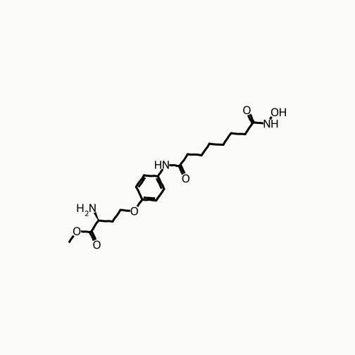 COC(=O)[C@@H](N)CCOc1ccc(NC(=O)CCCCCCC(=O)NO)cc1